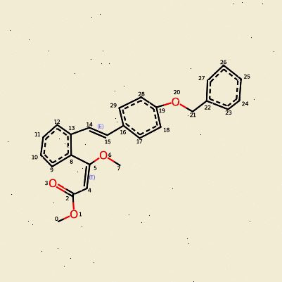 COC(=O)/C=C(/OC)c1ccccc1/C=C/c1ccc(OCc2ccccc2)cc1